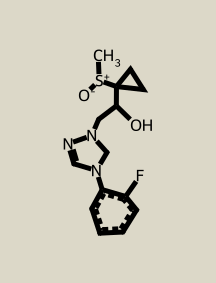 C[S+]([O-])C1(C(O)CN2CN(c3ccccc3F)C=N2)CC1